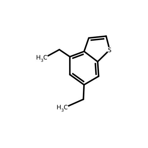 CCc1cc(CC)c2ccsc2c1